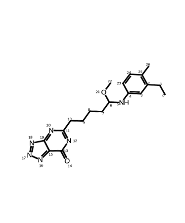 CCc1cc(NC(CCCCC2=NC(=O)C3=NN=NC3=N2)OC)ccc1C